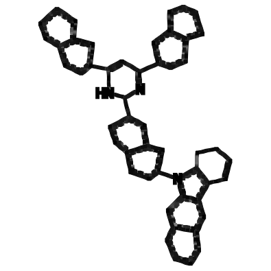 C1=Cc2c(n(-c3ccc4ccc(C5N=C(c6ccc7ccccc7c6)C=C(c6ccc7ccccc7c6)N5)cc4c3)c3cc4ccccc4cc23)CC1